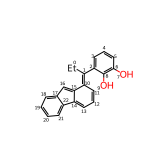 CCC(c1cccc(O)c1O)=c1cccc2c1=Cc1ccccc1-2